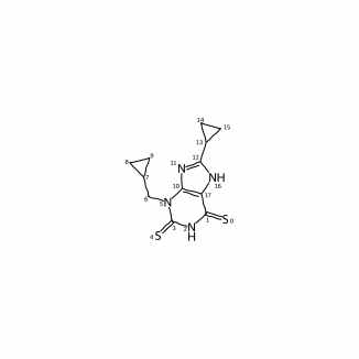 S=c1[nH]c(=S)n(CC2CC2)c2nc(C3CC3)[nH]c12